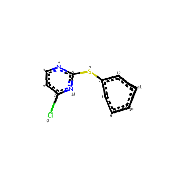 Clc1ccnc(Sc2ccccc2)n1